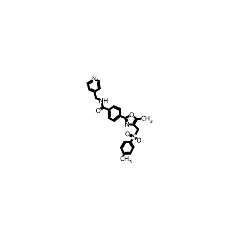 Cc1ccc(S(=O)(=O)Cc2nc(-c3ccc(C(=O)NCc4ccncc4)cc3)oc2C)cc1